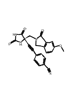 COc1ccc2c(c1)C(=O)N(C[C@@]1(C#Cc3ccc(C#N)cc3)NC(=O)NC1=O)C2